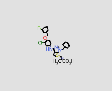 C/C(=C\S1=C2C(=C(Nc3ccc(OCc4cccc(F)c4)c(Cl)c3)N=CN2Cc2ccccc2)C=C1)C(=O)O